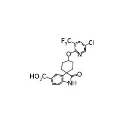 O=C(O)c1ccc2c(c1)C1(CCC(Oc3ncc(Cl)cc3C(F)(F)F)CC1)C(=O)N2